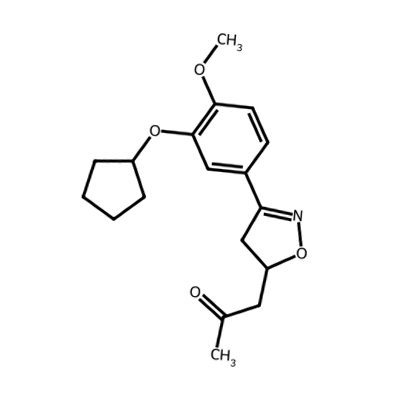 COc1ccc(C2=NOC(CC(C)=O)C2)cc1OC1CCCC1